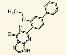 CCOc1cc(-c2ccccc2)ccc1-c1nc2[nH]cnc2c(=O)[nH]1